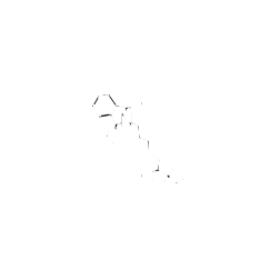 CCC(C)(C)C(=O)CCCCCN1C(=O)c2ccccc2C1=O